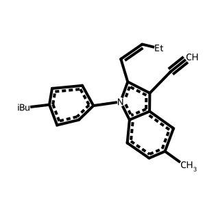 C#Cc1c(/C=C\CC)n(-c2ccc(C(C)CC)cc2)c2ccc(C)cc12